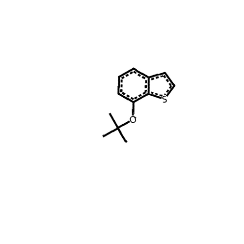 CC(C)(C)Oc1cccc2ccsc12